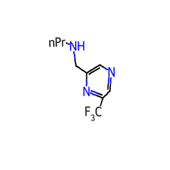 CCCNCc1cncc(C(F)(F)F)n1